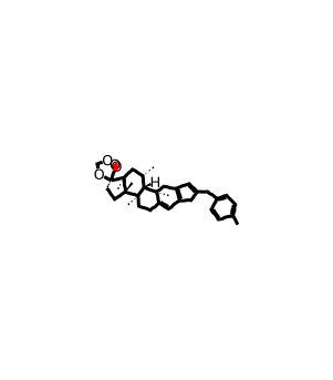 Cc1ccc(CC2=CC3=C(C=C4CC[C@]5(C)[C@H]([C@@H](C)C[C@@]6(C)[C@@]5(C)CC[C@@]65OCOC56COCO6)[C@@]4(C)C3)C2)cc1